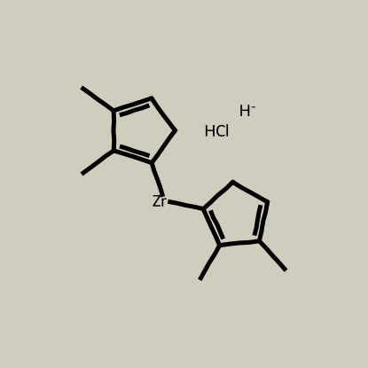 CC1=CC[C]([Zr][C]2=C(C)C(C)=CC2)=C1C.Cl.[H-]